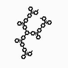 Cc1cccc(N(c2ccccc2)c2ccc(-c3ccc(N(c4ccccc4)c4ccc(-c5cc(-c6ccc(N(c7ccccc7)c7ccc(-c8ccc(N(c9ccccc9)c9cccc(C)c9)cc8)cc7)cc6)cc(-c6ccc(N(c7ccccc7)c7ccc(-c8ccc(N(c9ccccc9)c9cccc(C)c9)cc8)cc7)cc6)c5)cc4)cc3)cc2)c1